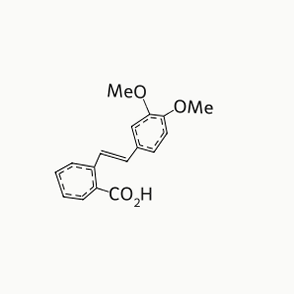 COc1ccc(C=Cc2ccccc2C(=O)O)cc1OC